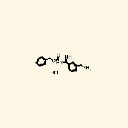 Cl.N=C(NC(=O)OCc1ccccc1)c1cccc(CN)c1